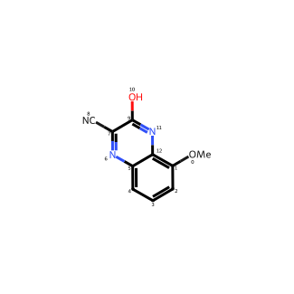 COc1cccc2nc(C#N)c(O)nc12